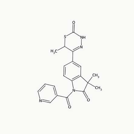 CC1SC(=O)NN=C1c1ccc2c(c1)C(C)(C)C(=O)N2C(=O)c1cccnc1